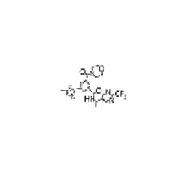 Cc1cnc(-c2cc(C(=O)NC(C)c3cnc(C(F)(F)F)nc3)cc(C(=O)N3CCOCC3)c2)s1